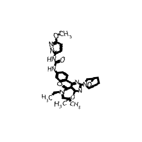 CCN1CC(C)(C)Oc2nc(N3CC4CCC(C3)O4)nc(-c3ccc(NC(=O)Nc4ccc(OC)nn4)cc3)c2C1=O